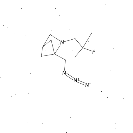 CC(C)(F)CN1CC2CC1(CN=[N+]=[N-])C2